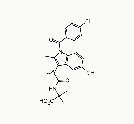 Cc1c([C@@H](C)C(=O)NC(C)(C)C(=O)O)c2cc(O)ccc2n1C(=O)c1ccc(Cl)cc1